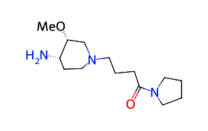 CO[C@@H]1CN(CCCC(=O)N2CCCC2)CC[C@@H]1N